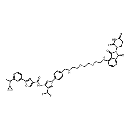 CN(c1cc(-c2nc(C(=O)Nc3cn(-c4ccc(CNCCOCCOCCNc5cccc6c5C(=O)N(C5CCC(=O)NC5=O)C6=O)cc4)nc3C(F)F)co2)ccn1)C1CC1